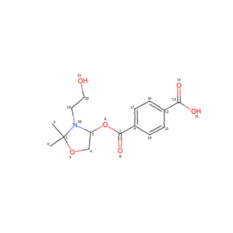 CC1(C)OCC(OC(=O)c2ccc(C(=O)O)cc2)N1CCO